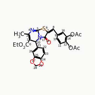 CCOC(=O)C1=C(C)N=c2sc(=Cc3ccc(OC(C)=O)c(OC(C)=O)c3)c(=O)n2C1c1ccc2c(c1)OCO2